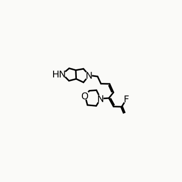 C=C(F)/C=C(\C=C/CCN1CC2CNCC2C1)N1CCOCC1